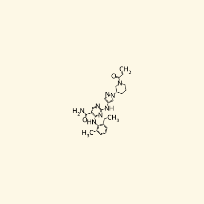 C=CC(=O)N1CCC[C@H](n2cc(Nc3ncc(C(N)=O)c(Nc4c(C)cccc4CC)n3)cn2)C1